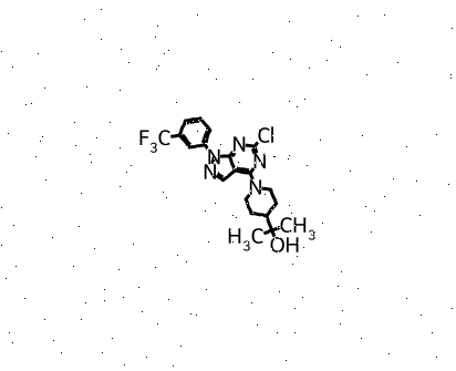 CC(C)(O)C1CCN(c2nc(Cl)nc3c2cnn3-c2cccc(C(F)(F)F)c2)CC1